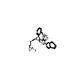 CCCCCCOc1ccccc1NC(=O)C(=O)Nc1ccc2c(c1)CCC2